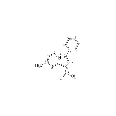 Cc1ccn2c(-c3ccccc3)cc(C(=O)O)c2c1